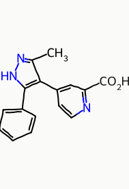 Cc1n[nH]c(-c2ccccc2)c1-c1ccnc(C(=O)O)c1